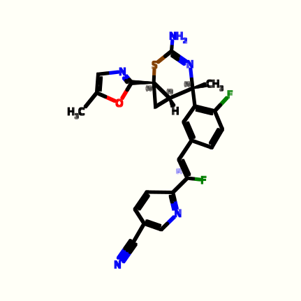 Cc1cnc([C@]23C[C@H]2[C@@](C)(c2cc(/C=C(\F)c4ccc(C#N)cn4)ccc2F)N=C(N)S3)o1